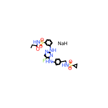 CCC(=O)NS(=O)(=O)c1cccc(Nc2ncc(F)c(Nc3ccc(CNS(=O)(=O)C4CC4)cc3)n2)c1.[NaH]